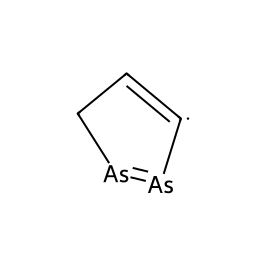 [C]1=CC[As]=[As]1